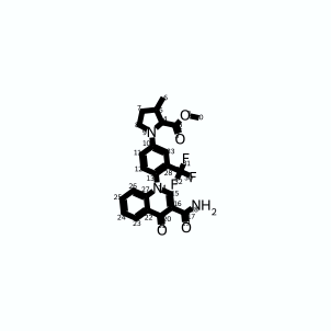 COC(=O)C1C(C)CCN1c1ccc(-n2cc(C(N)=O)c(=O)c3ccccc32)c(C(F)(F)F)c1